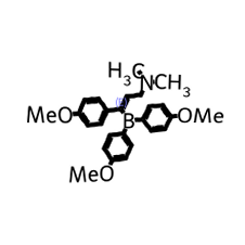 COc1ccc(B(/C(=C\CN(C)C)c2ccc(OC)cc2)c2ccc(OC)cc2)cc1